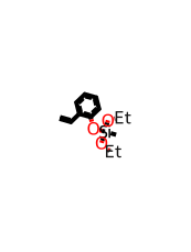 C=Cc1ccccc1O[Si](C)(OCC)OCC